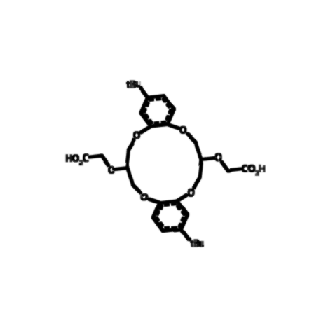 CC(C)(C)c1ccc2c(c1)OCC(OCC(=O)O)COc1ccc(C(C)(C)C)cc1OCC(OCC(=O)O)CO2